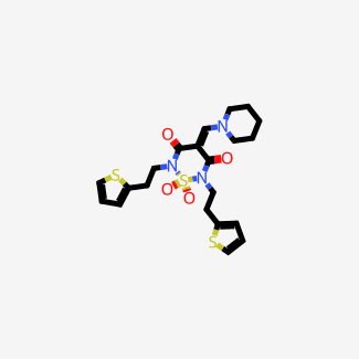 O=C1C(=CN2CCCCC2)C(=O)N(CCc2cccs2)S(=O)(=O)N1CCc1cccs1